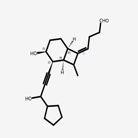 CC1/C(=C/CCC=O)[C@@H]2CC[C@H](O)[C@H](C#CC(O)C3CCCC3)[C@H]12